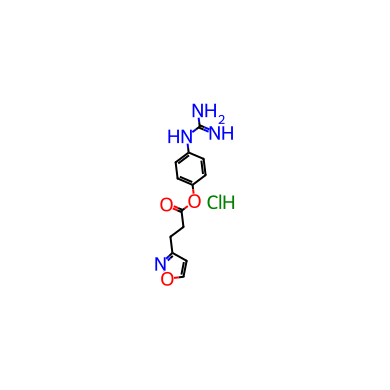 Cl.N=C(N)Nc1ccc(OC(=O)CCc2ccon2)cc1